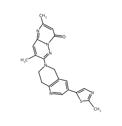 Cc1cc(=O)n2nc(N3CCc4ncc(-c5cnc(C)s5)cc4C3)c(C)cc2n1